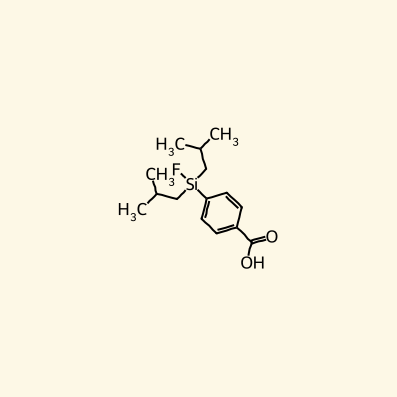 CC(C)C[Si](F)(CC(C)C)c1ccc(C(=O)O)cc1